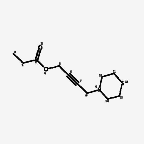 CCC(=O)OCC#CCN1CCSCC1